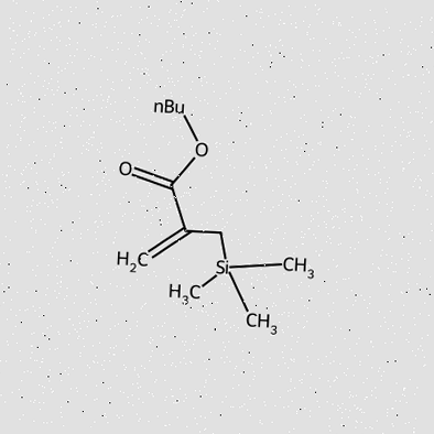 C=C(C[Si](C)(C)C)C(=O)OCCCC